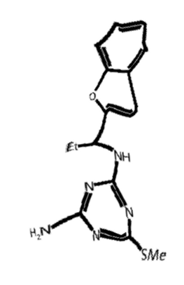 CCC(Nc1nc(N)nc(SC)n1)c1cc2ccccc2o1